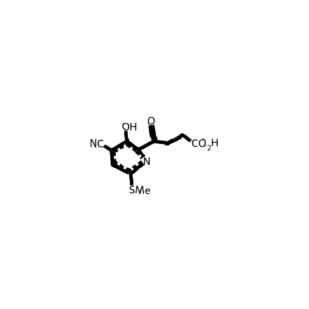 CSc1cc(C#N)c(O)c(C(=O)CCC(=O)O)n1